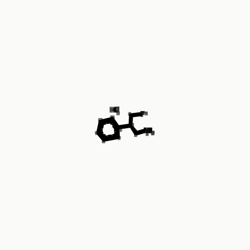 Cl.NC[C@H](CF)c1ccccc1